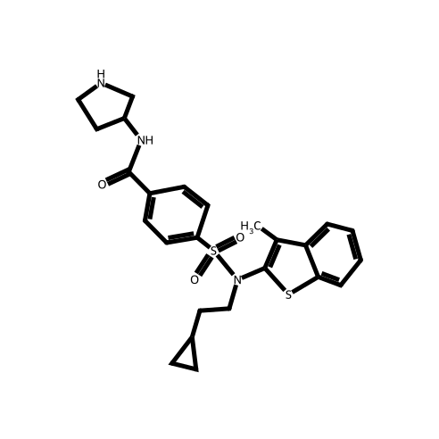 Cc1c(N(CCC2CC2)S(=O)(=O)c2ccc(C(=O)NC3CCNC3)cc2)sc2ccccc12